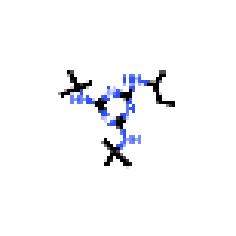 CCC(C)Nc1nc(NC(C)(C)C)nc(NC(C)(C)C)n1